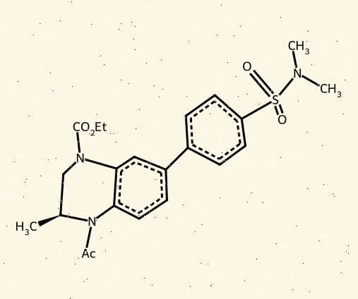 CCOC(=O)N1C[C@H](C)N(C(C)=O)c2ccc(-c3ccc(S(=O)(=O)N(C)C)cc3)cc21